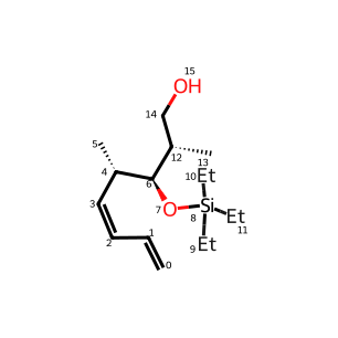 C=C/C=C\[C@H](C)[C@H](O[Si](CC)(CC)CC)[C@@H](C)CO